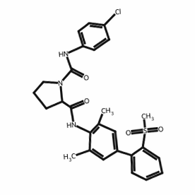 Cc1cc(-c2ccccc2S(C)(=O)=O)cc(C)c1NC(=O)C1CCCN1C(=O)Nc1ccc(Cl)cc1